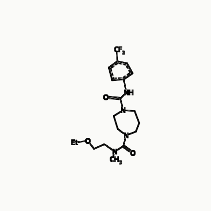 CCOCCN(C)C(=O)N1CCCN(C(=O)Nc2ccc(C(F)(F)F)cc2)CC1